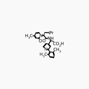 Cc1ccn([C@@H](CC(C)C)C(=O)N[C@@H](CC(=O)O)c2ccnc(-c3c(C)cccc3C)c2)c(=O)c1